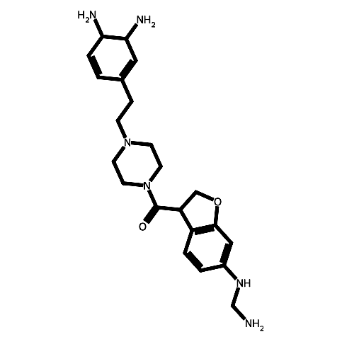 NCNc1ccc2c(c1)OCC2C(=O)N1CCN(CCC2=CC(N)C(N)C=C2)CC1